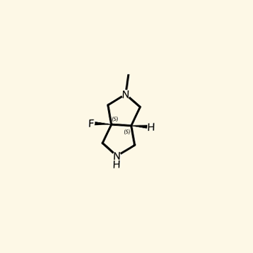 CN1C[C@@H]2CNC[C@]2(F)C1